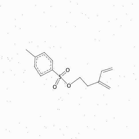 C=CC(=C)CCOS(=O)(=O)c1ccc(C)cc1